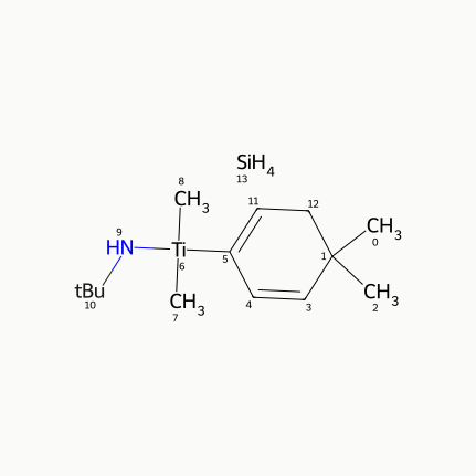 CC1(C)C=C[C]([Ti]([CH3])([CH3])[NH]C(C)(C)C)=CC1.[SiH4]